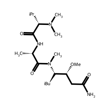 CC[C@H](C)[C@@H]([C@@H](CC(N)=O)OC)N(C)C(=O)[C@H](C)NC(=O)[C@H](C(C)C)N(C)C